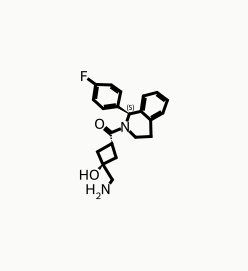 NC[C@]1(O)C[C@H](C(=O)N2CCc3ccccc3[C@@H]2c2ccc(F)cc2)C1